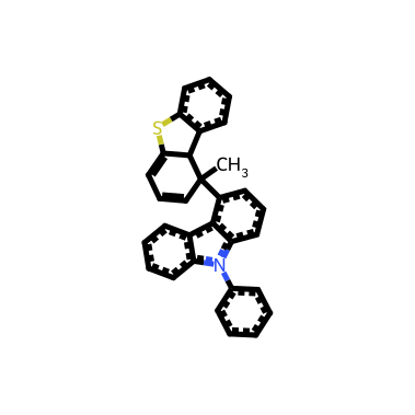 CC1(c2cccc3c2c2ccccc2n3-c2ccccc2)C=CC=C2Sc3ccccc3C21